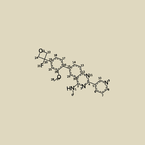 CNc1nc(-c2cccnc2)nc2ccc(-c3ccc(C4(F)COC4)cc3OC)cc12